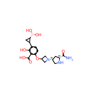 NC(=O)[C@H]1C[C@@H](N2CC(Oc3ccc(C4CC4B(O)O)c(O)c3C(=O)O)C2)CN1